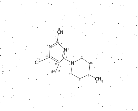 CC1CCN(c2nc(C#N)nc(Cl)c2C(C)C)CC1